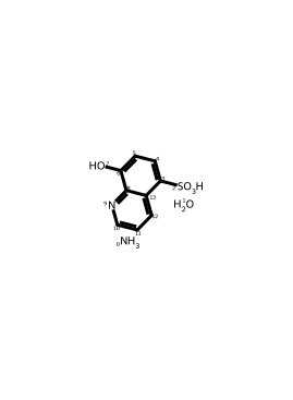 N.O.O=S(=O)(O)c1ccc(O)c2ncccc12